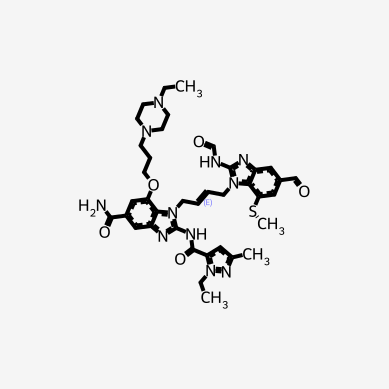 CCN1CCN(CCCOc2cc(C(N)=O)cc3nc(NC(=O)c4cc(C)nn4CC)n(C/C=C/Cn4c(NC=O)nc5cc(C=O)cc(SC)c54)c23)CC1